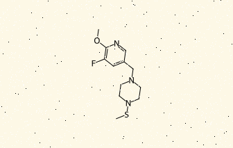 COc1ncc(CN2CCN(SC)CC2)cc1F